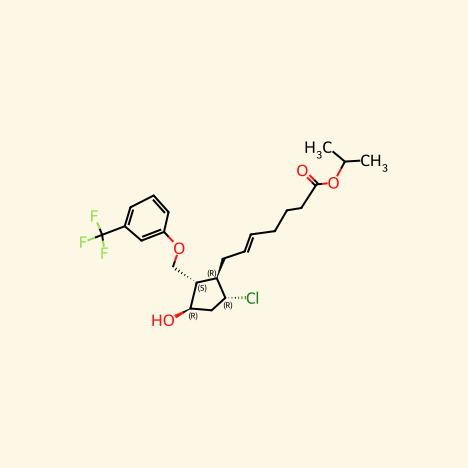 CC(C)OC(=O)CCCC=CC[C@@H]1[C@@H](COc2cccc(C(F)(F)F)c2)[C@H](O)C[C@H]1Cl